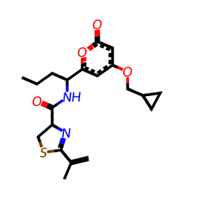 C=C(C)C1=NC(C(=O)NC(CCC)c2cc(OCC3CC3)cc(=O)o2)CS1